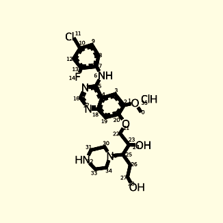 COc1cc2c(Nc3ccc(Cl)cc3F)ncnc2cc1OCC(O)C(CCO)N1CCNCC1.Cl